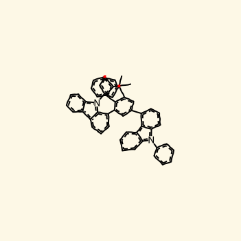 CC1(C)c2ccccc2-c2c(-c3cccc4c5ccccc5n(-c5ccccc5)c34)cc(-c3cccc4c3c3ccccc3n4-c3ccccc3)cc21